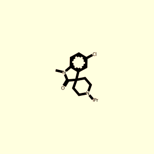 CC(C)N1CCC2(CC1)C(=O)N(C)c1ccc(Cl)cc12